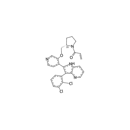 C=CC(=O)N1CCC[C@H]1COc1cnccc1-c1[nH]c2cccnc2c1-c1cccc(Cl)c1Cl